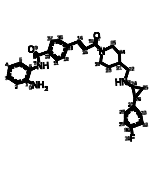 Nc1ccccc1NC(=O)c1ccc(C=CC(=O)N2CCC(CNC3CC3c3ccc(F)cc3)CC2)cc1